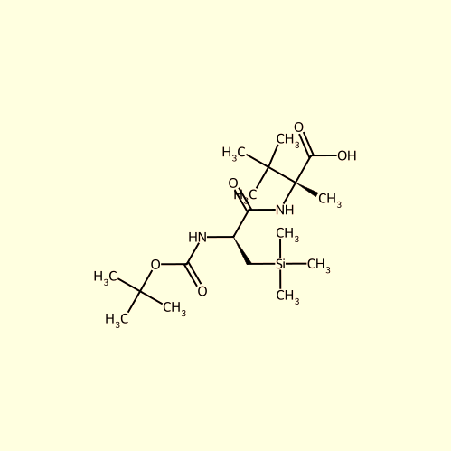 CC(C)(C)OC(=O)N[C@H](C[Si](C)(C)C)C(=O)N[C@@](C)(C(=O)O)C(C)(C)C